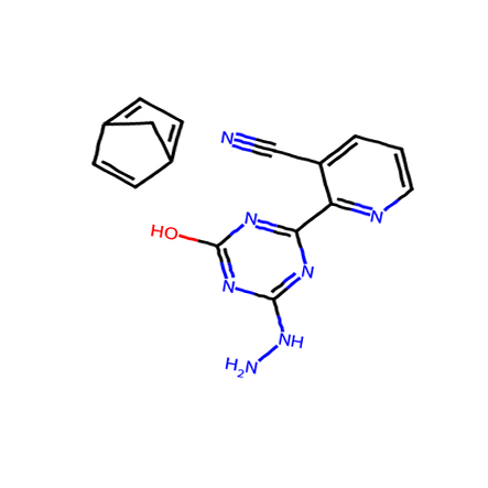 C1=CC2=CC=C1C2.N#Cc1cccnc1-c1nc(O)nc(NN)n1